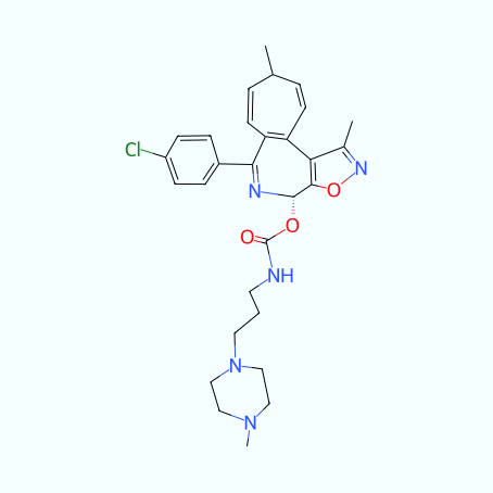 Cc1noc2c1C1=C(C=CC(C)C=C1)C(c1ccc(Cl)cc1)=N[C@H]2OC(=O)NCCCN1CCN(C)CC1